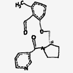 Cc1cccc(OC[C@@H]2CCCN2C(=O)c2cccnc2)c1C=O